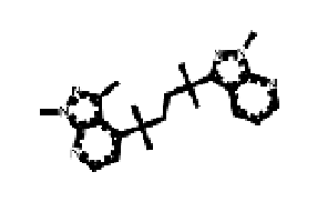 Cc1nn(C)c2nccc(C(C)(C)CCC(C)(C)c3nn(C)c4ncccc34)c12